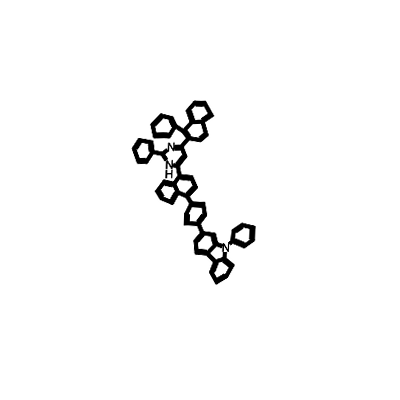 C1=C(c2ccc(-c3ccc(-c4ccc5c6ccccc6n(-c6ccccc6)c5c4)cc3)c3ccccc23)NC(c2ccccc2)N=C1c1ccc2ccccc2c1-c1ccccc1